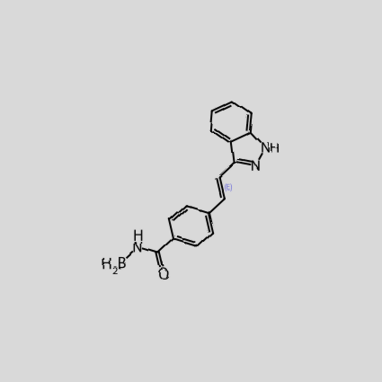 BNC(=O)c1ccc(/C=C/c2n[nH]c3ccccc23)cc1